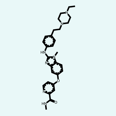 CCN1CCN(CCc2ccc(Nc3nc4cc(Oc5ccnc(C(=O)NC)c5)ccc4n3C)cc2)CC1